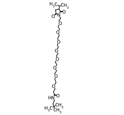 CC(C)C1CC(=O)N(CCOCCOCCOCCOCCOCCOCCOCCOCCC(=O)NCCC(C)(C)C)C1=O